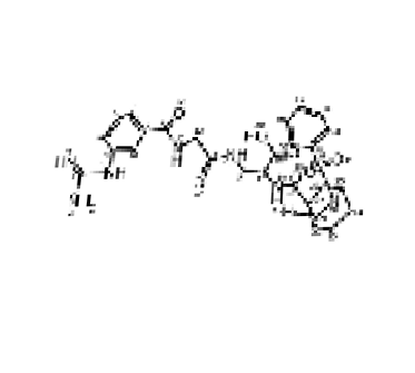 N=C(N)Nc1cccc(C(=O)NCC(=O)NC[C@H](NC(=O)[C@H]2C3CCC(CC3)N2S(=O)(=O)c2ccccc2)C(=O)O)c1